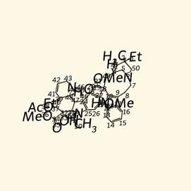 CC[C@]1(C)C[C@@H]2CN(CCc3c([nH]c4ccccc34)C(C(=O)OC)(c3cc4c(cc3OC)N(C)[C@H]3C(O)(C(=O)OC)[C@H](OC(C)=O)[C@]5(CC)C=CCN6CC[C@]43[C@@H]65)C2)C1